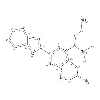 CN(C)C(CCN)c1nc(-c2cc3ccccc3o2)nc2ccc(Br)cc12